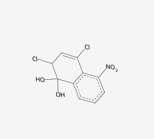 O=[N+]([O-])c1cccc2c1C(Cl)=CC(Cl)C2(O)O